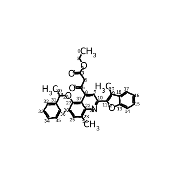 CCOC(=O)CC(=O)c1cc(-c2oc3ccccc3c2C)nc2c(C)ccc(O[C@H](C)c3ccccc3)c12